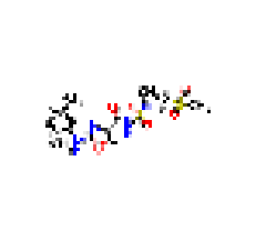 Cc1ccc(C(F)(F)F)cc1Nc1nc(C(=O)NS(=O)(=O)N(C)CCS(C)(=O)=O)co1